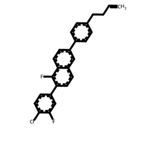 C=CCCc1ccc(-c2ccc3c(F)c(-c4ccc(Cl)c(F)c4)ccc3c2)cc1